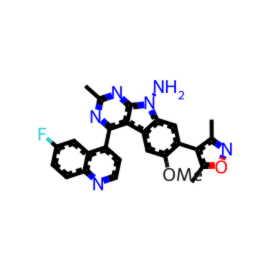 COc1cc2c3c(-c4ccnc5ccc(F)cc45)nc(C)nc3n(N)c2cc1-c1c(C)noc1C